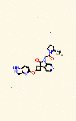 O=C(CN1C(=O)C2(CC(Oc3ccc4[nH]ncc4n3)C2)c2ccncc21)N1CCC[C@H]1C(F)(F)F